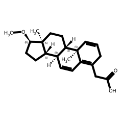 CO[C@@H]1CC[C@H]2[C@@H]3C=CC4=C(CC(=O)O)CC=C[C@]4(C)[C@H]3CC[C@]12C